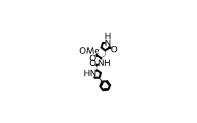 COC(=O)[C@H](C[C@@H]1CCNC1=O)NC(=O)[C@@H]1C[C@@H](c2ccccc2)CN1